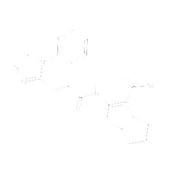 NC(=O)c1c(NC(=O)CSc2nncn2-c2ccccc2)sc2c1CCC2